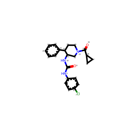 O=C(Nc1ccc(Cl)cc1)NC1CN(C(=O)C2CC2)CCC1c1ccccc1